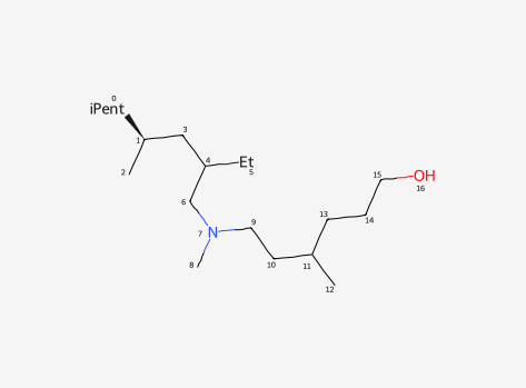 CCCC(C)[C@H](C)CC(CC)CN(C)CCC(C)CCCO